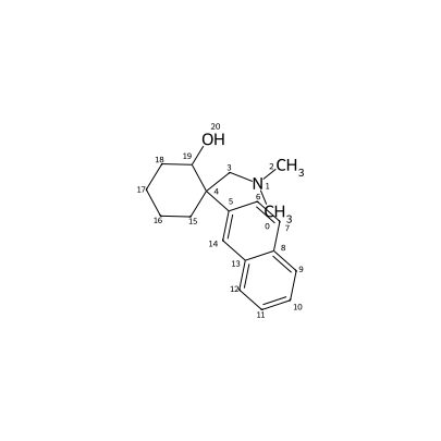 CN(C)CC1(c2ccc3ccccc3c2)CCCCC1O